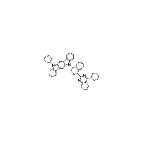 c1ccc(-c2nc(-c3ccc(-n4c5ccccc5c5cc6c(cc54)c4ccccc4n6-c4ccccc4)c4ccccc34)nc3ccccc23)cc1